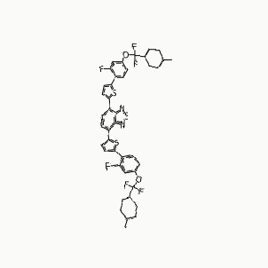 CC1CCC(C(F)(F)Oc2ccc(-c3ccc(-c4ccc(-c5ccc(-c6ccc(OC(F)(F)C7CCC(C)CC7)cc6F)s5)c5nsnc45)s3)c(F)c2)CC1